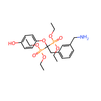 CCOP(=O)(OCC)C(Cc1cccc(CN)c1)(Oc1ccc(O)cc1)P(=O)(OCC)OCC